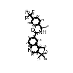 C[C@@H](NC(=O)c1ccc2ncc3c(c2c1)COC3(C)C)c1ccc(C(F)(F)F)cn1